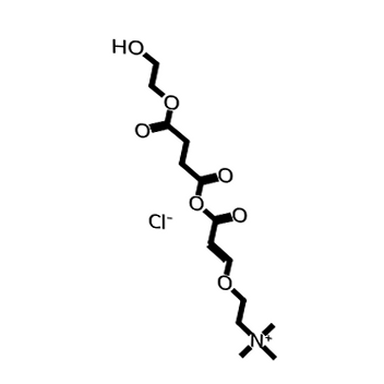 C[N+](C)(C)CCOC=CC(=O)OC(=O)CCC(=O)OCCO.[Cl-]